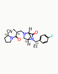 CC[C@@H](c1ccc(F)cc1)N1C(=O)[C@@H]2C[C@H]1CN2C[C@H](C)C(=O)N1CCC[C@H]1C#N